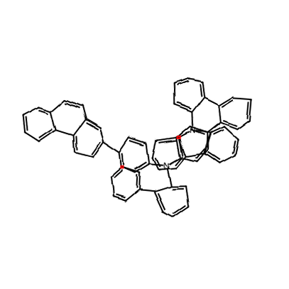 c1ccc(-c2ccccc2N(c2ccc(-c3ccc4c(ccc5ccccc54)c3)cc2)c2ccc(-c3ccccc3-c3ccccc3-n3c4ccccc4c4ccccc43)cc2)cc1